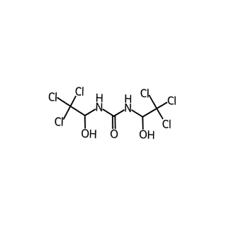 O=C(NC(O)C(Cl)(Cl)Cl)NC(O)C(Cl)(Cl)Cl